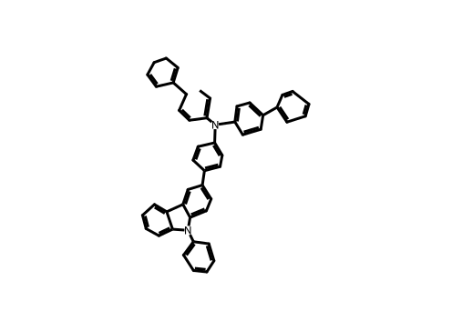 C/C=C(\C=C/CC1=CCCC=C1)N(c1ccc(-c2ccccc2)cc1)c1ccc(-c2ccc3c(c2)c2ccccc2n3-c2ccccc2)cc1